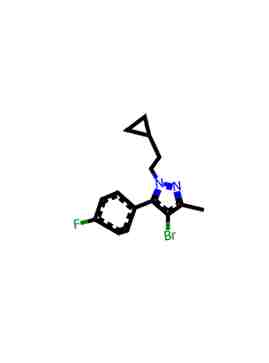 Cc1nn(CCC2CC2)c(-c2ccc(F)cc2)c1Br